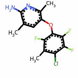 Cc1cc(Oc2c(F)c(C)c(Cl)c(F)c2F)c(C)nc1N